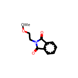 COOCCN1C(=O)c2ccccc2C1=O